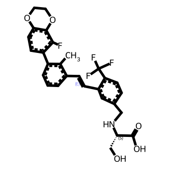 Cc1c(/C=C/c2cc(CN[C@@H](CO)C(=O)O)ccc2C(F)(F)F)cccc1-c1ccc2c(c1F)OCCO2